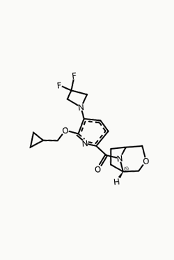 O=C(c1ccc(N2CC(F)(F)C2)c(OCC2CC2)n1)N1C2CC[C@H]1COC2